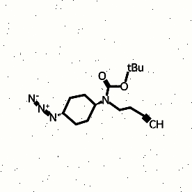 C#CCCN(C(=O)OC(C)(C)C)[C@H]1CC[C@H](N=[N+]=[N-])CC1